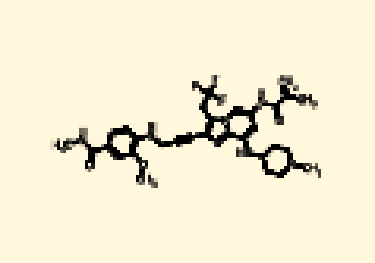 C=C(C)C(=O)Nc1cc(NC2CCN(C)CC2)c2nc(C#CCNc3ccc(C(=O)NC)cc3OC)c(CC(F)(F)F)n2c1